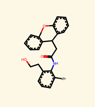 CC(C)c1cccc(CCO)c1NC(=O)CC1c2ccccc2Oc2ccccc21